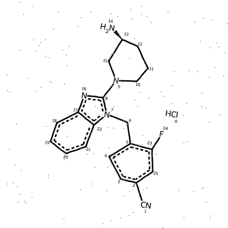 Cl.N#Cc1ccc(Cn2c(N3CCC[C@H](N)C3)nc3ccccc32)c(F)c1